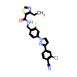 CCc1ncsc1C(=O)NCc1ccc(-n2ccc(-c3ccc(C#N)c(Cl)c3)n2)cc1F